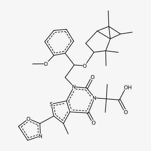 COc1ccccc1C(Cn1c(=O)n(C(C)(C)C(=O)O)c(=O)c2c(C)c(-c3ncco3)sc21)OC1CC2C3(C)C(C)C23C1(C)C